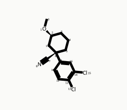 CO[C@H]1CCC[C@](C#N)(c2ccc(Cl)c(Cl)c2)C1